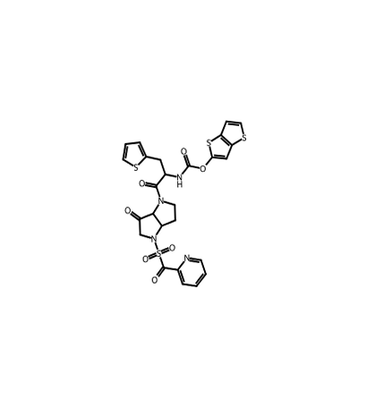 O=C(NC(Cc1cccs1)C(=O)N1CCC2C1C(=O)CN2S(=O)(=O)C(=O)c1ccccn1)Oc1cc2sccc2s1